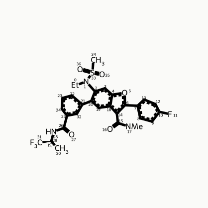 CCN(c1cc2oc(-c3ccc(F)cc3)c(C(=O)NC)c2cc1-c1cccc(C(=O)N[C@@H](C)C(F)(F)F)c1)S(C)(=O)=O